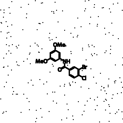 COc1cc(NC(=O)c2ccc(Cl)c(Br)c2)cc(OC)c1